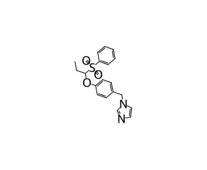 CCC(Oc1ccc(Cn2ccnc2)cc1)S(=O)(=O)c1ccccc1